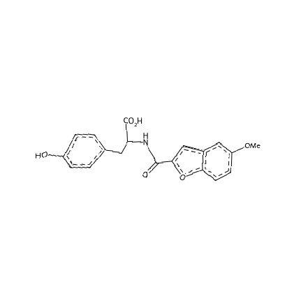 COc1ccc2oc(C(=O)NC(Cc3ccc(O)cc3)C(=O)O)cc2c1